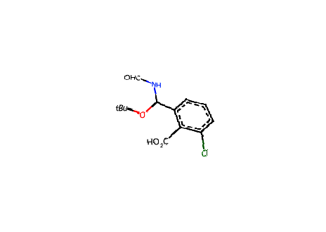 CC(C)(C)OC(NC=O)c1cccc(Cl)c1C(=O)O